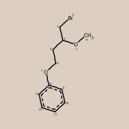 COC(CBr)CCOc1ccccc1